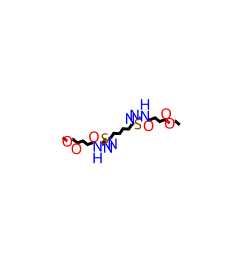 CCOC(=O)CCC(=O)Nc1nnc(CCCCc2nnc(NC(=O)CCC(=O)COC)s2)s1